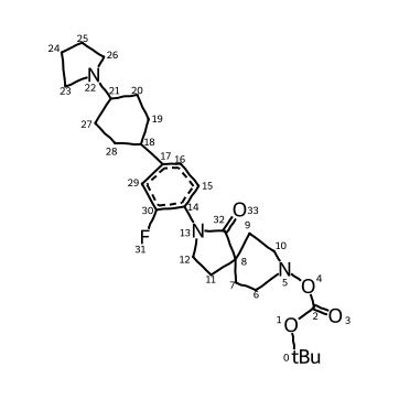 CC(C)(C)OC(=O)ON1CCC2(CC1)CCN(c1ccc(C3CCC(N4CCCC4)CC3)cc1F)C2=O